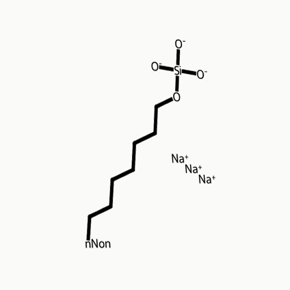 CCCCCCCCCCCCCCCCO[Si]([O-])([O-])[O-].[Na+].[Na+].[Na+]